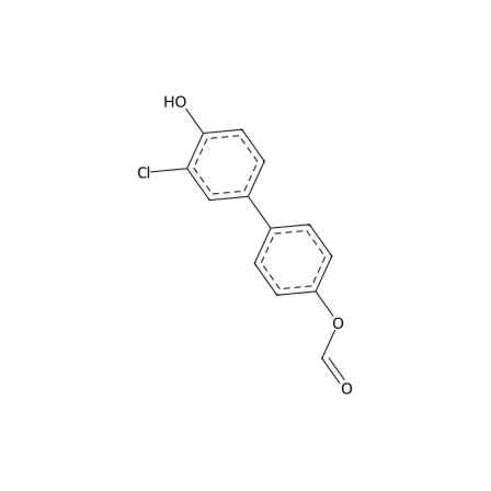 O=COc1ccc(-c2ccc(O)c(Cl)c2)cc1